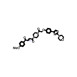 COc1ccc(C(=O)/C=C/C(=O)N2CCN(C(=O)COc3ccc(-c4csc(N5CCOCC5)n4)cc3)CC2)cc1